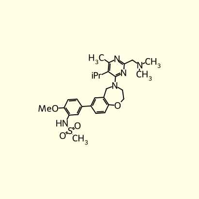 COc1ccc(-c2ccc3c(c2)CN(c2nc(CN(C)C)nc(C)c2C(C)C)CCO3)cc1NS(C)(=O)=O